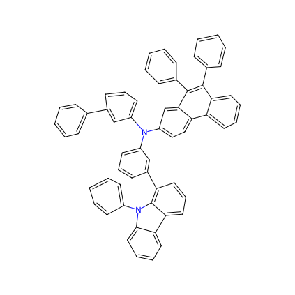 c1ccc(-c2cccc(N(c3cccc(-c4cccc5c6ccccc6n(-c6ccccc6)c45)c3)c3ccc4c(c3)c(-c3ccccc3)c(-c3ccccc3)c3ccccc34)c2)cc1